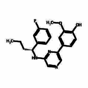 CCC[C@@H](Nc1cncc(-c2ccc(O)c(OC)c2)n1)c1cccc(F)c1